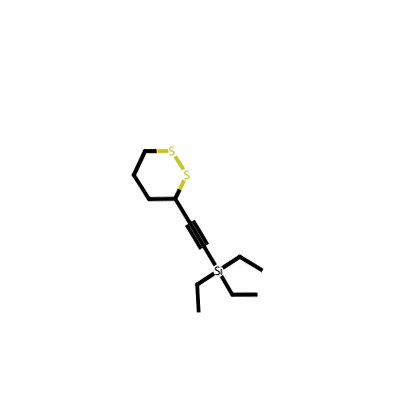 CC[Si](C#CC1CCCSS1)(CC)CC